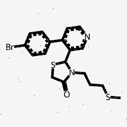 CSCCCN1C(=O)CSC1c1cnccc1-c1ccc(Br)cc1